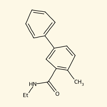 CCNC(=O)c1cc(-c2ccccc2)ccc1C